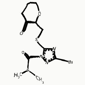 CN(C)C(=O)n1nc(C(C)(C)C)nc1SCC1OCCCC1=O